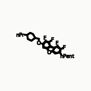 CCCCCc1cc2oc3cc(OCC4CCC(CCC)CC4)c(F)c(F)c3c2c(F)c1F